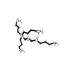 CCC[CH2][Sn]([CH2]CCC)([CH2]CCC)[CH2]OCOCCCN